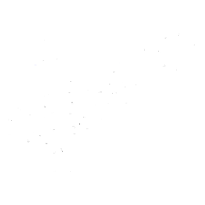 CO/C1=C/C=c2/c3c(c4c(c2=CCC1)OC(C)(CC(C)(C)C(C)/C=C\CCN1CCCOCC1)CC=C4)C1(CCC(C)(C)CCC(C)C1)C1=CC=CC=C3C1